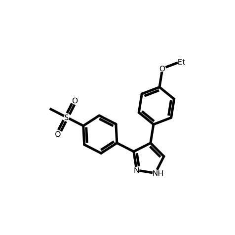 CCOc1ccc(-c2c[nH]nc2-c2ccc(S(C)(=O)=O)cc2)cc1